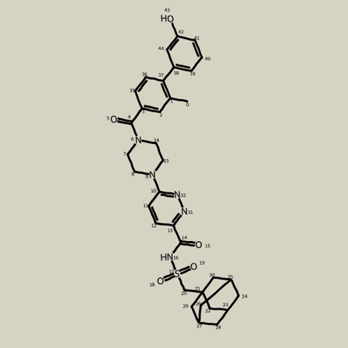 Cc1cc(C(=O)N2CCN(c3ccc(C(=O)NS(=O)(=O)CC45CC6CC(CC(C6)C4)C5)nn3)CC2)ccc1-c1cccc(O)c1